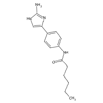 CCCCCC(=O)Nc1ccc(-c2c[nH]c(N)n2)cc1